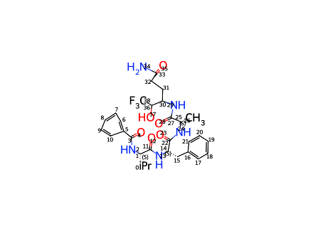 CC(C)[C@H](NC(=O)c1ccccc1)C(=O)N[C@@H](Cc1ccccc1)C(=O)N[C@@H](C)C(=O)NC(CCC(N)=O)C(O)C(F)(F)F